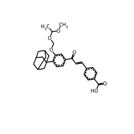 COC(C)OCOc1cc(C(=O)C=Cc2ccc(C(=O)O)cc2)ccc1C12CC3CC(CC(C3)C1)C2